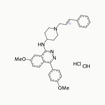 COc1ccc(-c2nnc(NC3CCN(C/C=C/c4ccccc4)CC3)c3cc(OC)ccc23)cc1.Cl.Cl